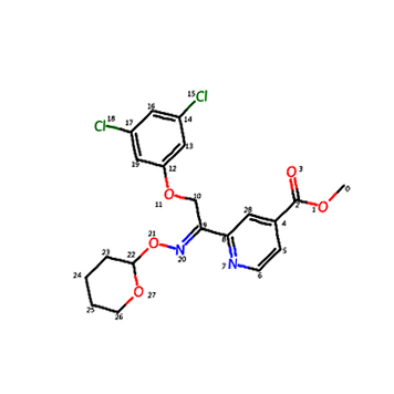 COC(=O)c1ccnc(/C(COc2cc(Cl)cc(Cl)c2)=N/OC2CCCCO2)c1